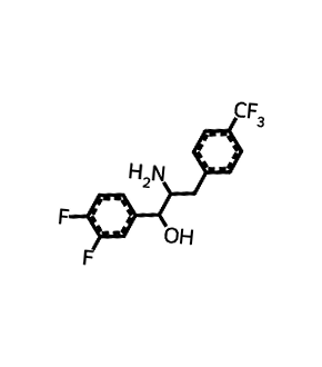 NC(Cc1ccc(C(F)(F)F)cc1)C(O)c1ccc(F)c(F)c1